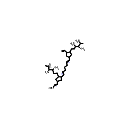 C=CC1CC(/C=C/CCC/C=C/C2CC(/C=C/CCCC)CC2CCC(N)C(N)C(C)N)CC1CCC(N)C(N)C(C)N